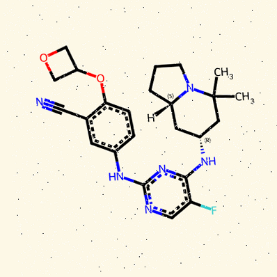 CC1(C)C[C@H](Nc2nc(Nc3ccc(OC4COC4)c(C#N)c3)ncc2F)C[C@@H]2CCCN21